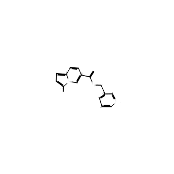 O=C(NCc1cccnc1)c1ccc2ccc(I)n2c1